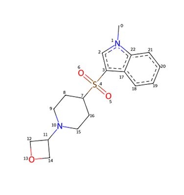 Cn1cc(S(=O)(=O)C2CCN(C3COC3)CC2)c2ccccc21